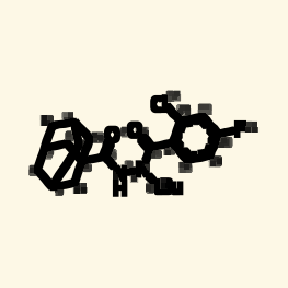 CC(C)(C)N(NC(=O)C12CC3CC(CC(C3)C1)C2)C(=O)c1ccc(F)cc1Cl